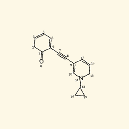 O=C1CC=[C]C=C1C#CC1=CN(C2CC2)CC=C1